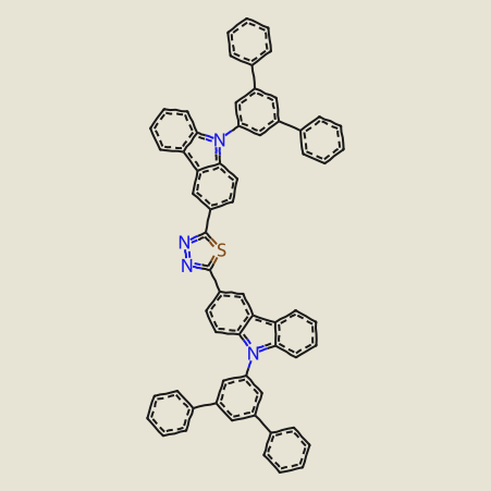 c1ccc(-c2cc(-c3ccccc3)cc(-n3c4ccccc4c4cc(-c5nnc(-c6ccc7c(c6)c6ccccc6n7-c6cc(-c7ccccc7)cc(-c7ccccc7)c6)s5)ccc43)c2)cc1